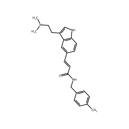 Cc1ccc(CNC(=O)/C=C/c2ccc3[nH]cc(CCN(C)C)c3c2)cc1